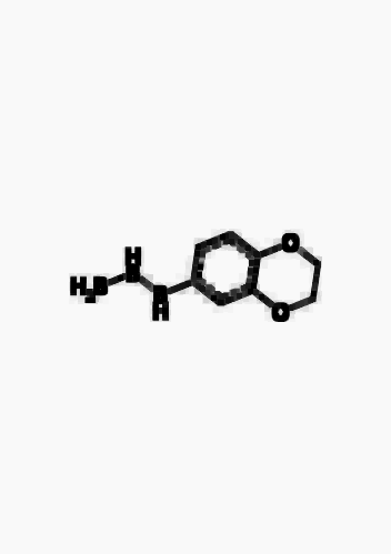 BBBc1ccc2c(c1)OCCO2